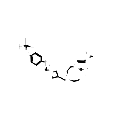 O=C(Nc1ccc(OC(F)(F)F)cc1)N1CC(CN2CCOc3nc([N+](=O)[O-])cn3CC2)C1